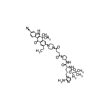 CCc1cc2c(cc1N1CCN(C(=O)CCC(=O)N3CC[C@@H](NC(=O)[C@H](CCCn4ccnc4N)NC(=O)OC(C)(C)C)C3)CC1)C(C)(C)c1[nH]c3cc(C#N)ccc3c1C2=O